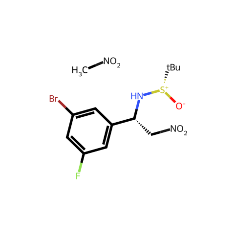 CC(C)(C)[S@+]([O-])N[C@H](C[N+](=O)[O-])c1cc(F)cc(Br)c1.C[N+](=O)[O-]